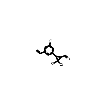 C=Cc1cc(Cl)cc(C2C(C=O)C2(Cl)Cl)c1